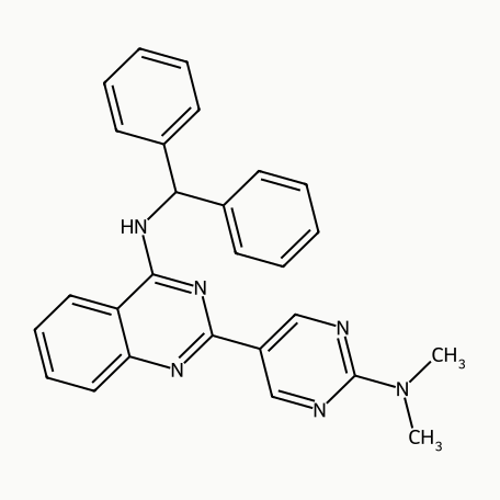 CN(C)c1ncc(-c2nc(NC(c3ccccc3)c3ccccc3)c3ccccc3n2)cn1